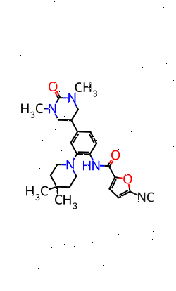 [C-]#[N+]c1ccc(C(=O)Nc2ccc(C3CN(C)C(=O)N(C)C3)cc2N2CCC(C)(C)CC2)o1